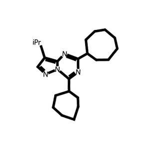 CC(C)c1cnn2c(C3CCCCCC3)nc(C3CCCCCCC3)nc12